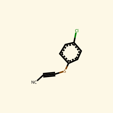 N#CC#CSc1ccc(Cl)cc1